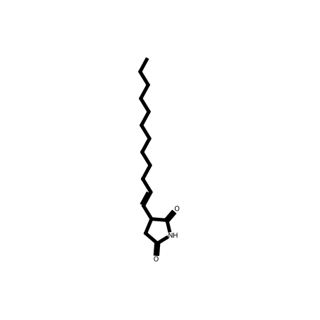 CCCCCCCCCCC=CC1CC(=O)NC1=O